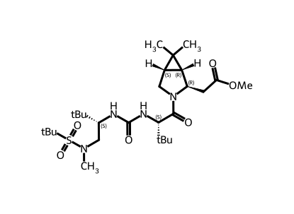 COC(=O)C[C@@H]1[C@@H]2[C@H](CN1C(=O)[C@@H](NC(=O)N[C@H](CN(C)S(=O)(=O)C(C)(C)C)C(C)(C)C)C(C)(C)C)C2(C)C